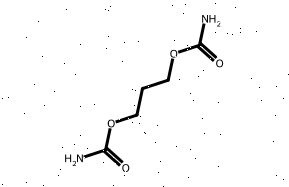 NC(=O)OCCCOC(N)=O